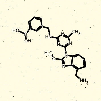 COc1nc2c(CN)cccc2n1-c1nc(C)nc(NCc2cccc(B(O)O)c2)n1